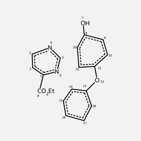 CCOC(=O)c1ccncn1.Oc1ccc(Oc2ccccc2)cc1